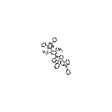 Cc1cc(N2c3ccccc3C(c3ccccc3)(c3ccc4c(c3)c3ccccc3n4-c3ccccc3)c3ccccc32)cc(C)c1-c1nc(-c2ccccc2)nc(-c2ccccc2)n1